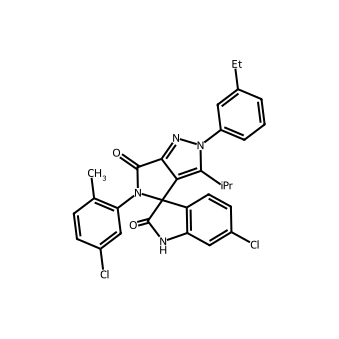 CCc1cccc(-n2nc3c(c2C(C)C)C2(C(=O)Nc4cc(Cl)ccc42)N(c2cc(Cl)ccc2C)C3=O)c1